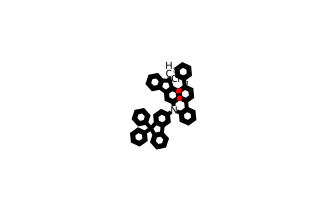 CC1(C)c2ccccc2-c2cc(N(c3ccc4c(c3)-c3ccccc3C4(c3ccccc3)c3ccccc3)c3ccccc3-c3ccc(-c4ccccc4)cc3)ccc21